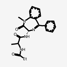 CCC(=O)NC(C)C(=O)N[C@H]1N=C(c2ccccc2)c2ccccc2N(C)C1=O